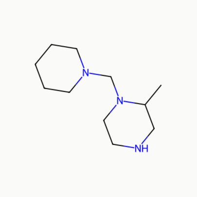 CC1CNCCN1CN1CCCCC1